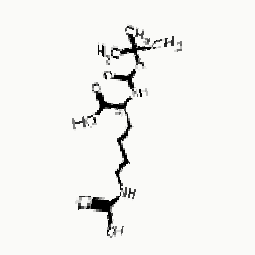 CC(C)(C)OC(=O)N[C@@H](CCCCNC(=O)O)C(=O)O